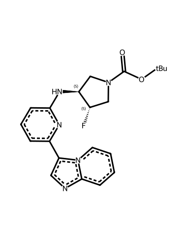 CC(C)(C)OC(=O)N1C[C@H](Nc2cccc(-c3cnc4ccccn34)n2)[C@@H](F)C1